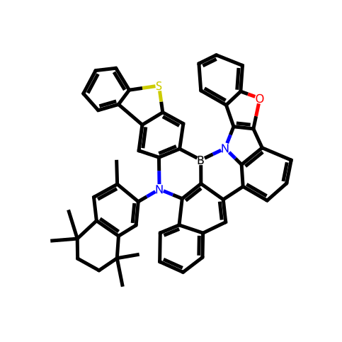 Cc1cc2c(cc1N1c3cc4c(cc3B3c5c(cc6ccccc6c51)-c1cccc5c6oc7ccccc7c6n3c15)sc1ccccc14)C(C)(C)CCC2(C)C